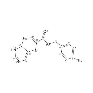 O=C(OCc1ccc(F)cc1)C1=CSC2NC=NC=C2C1